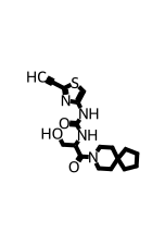 C#Cc1nc(NC(=O)NC(CO)C(=O)N2CCC3(CCCC3)CC2)cs1